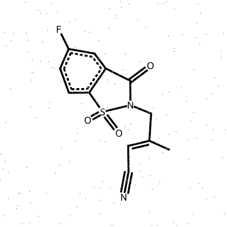 CC(=CC#N)CN1C(=O)c2cc(F)ccc2S1(=O)=O